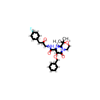 CC1(C)OCCn2c1nc(C(=O)NCC(=O)Cc1ccc(F)cc1)c(OCc1ccccc1)c2=O